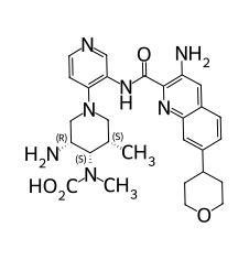 C[C@H]1CN(c2ccncc2NC(=O)c2nc3cc(C4CCOCC4)ccc3cc2N)C[C@@H](N)[C@H]1N(C)C(=O)O